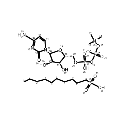 CCCCCCCCCCS(=O)(=O)O.C[N+](C)(C)OP(=O)([O-])OP(=O)(O)OC[C@H]1O[C@@H](n2ccc(N)nc2=O)[C@H](O)[C@@H]1O